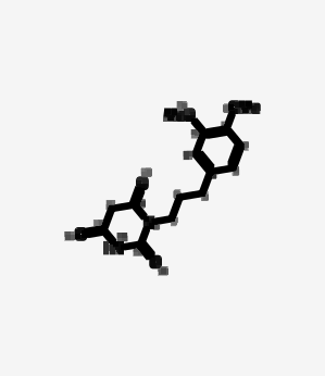 COc1ccc(CCCN2C(=O)CC(=O)NC2=O)cc1OC